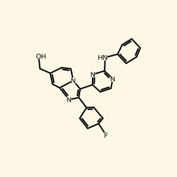 OCc1ccn2c(-c3ccnc(Nc4ccccc4)n3)c(-c3ccc(F)cc3)nc2c1